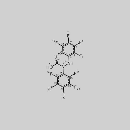 OC(=S)N(Nc1c(F)c(F)c(F)c(F)c1F)c1c(F)c(F)c(F)c(F)c1F